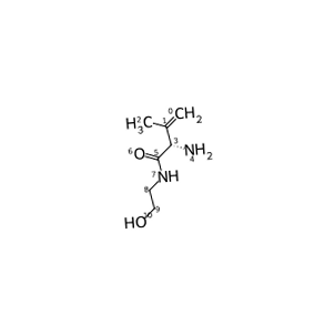 C=C(C)[C@H](N)C(=O)NCCO